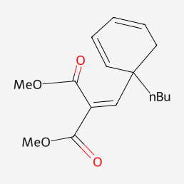 CCCCC1(C=C(C(=O)OC)C(=O)OC)C=CC=CC1